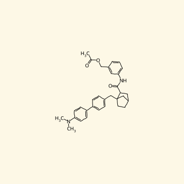 CC(=O)OCc1cccc(NC(=O)C2CC3CCC2(Cc2ccc(-c4ccc(N(C)C)cc4)cc2)C3)c1